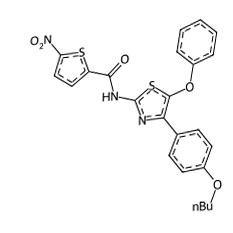 CCCCOc1ccc(-c2nc(NC(=O)c3ccc([N+](=O)[O-])s3)sc2Oc2ccccc2)cc1